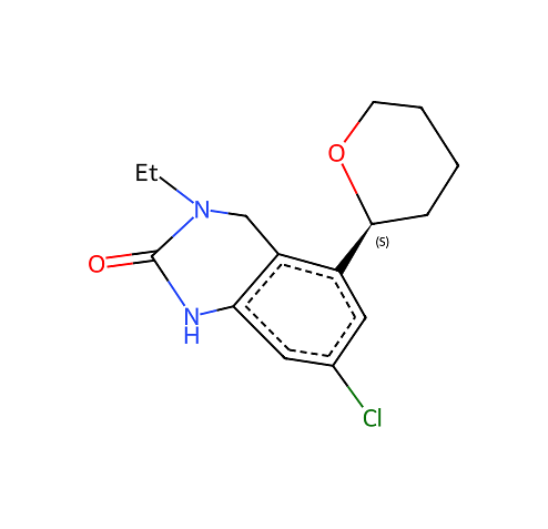 CCN1Cc2c(cc(Cl)cc2[C@@H]2CCCCO2)NC1=O